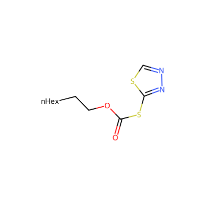 CCCCCCCCOC(=O)Sc1nncs1